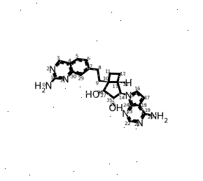 Nc1ncc2ccc(CC[C@@]34CC[C@@H]3[C@@H](n3ccc5c(N)ncnc53)[C@H](O)[C@@H]4O)cc2n1